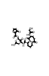 O=C(O)C[C@H](NC(=O)[C@@H]1CCCN2C(=O)CC[C@H](NC(=O)CO)C(=O)N12)C(=O)COC(=O)c1sccc1Cl